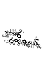 CC(C)OC(=O)c1cc(-n2c(=O)cc(C(F)(F)F)n(C)c2=O)ccc1Cl.COc1nc(C)nc(NC(=O)NS(=O)(=O)c2ccccc2CCC(F)(F)F)n1.O=C(Nc1nc(OC(F)F)cc(OC(F)F)n1)NS(=O)(=O)c1ccccc1C(=O)O